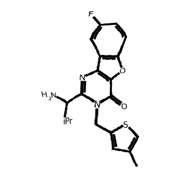 Cc1csc(Cn2c(C(N)C(C)C)nc3c(oc4ccc(F)cc43)c2=O)c1